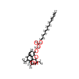 C=C(CC)C1Oc2c(OCOC(=O)OCCCCCCCCCCCCCC)ccc3c2C1(CCC)C(C)(O)C(CC)C3